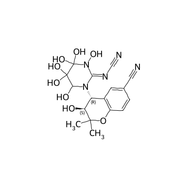 CC1(C)Oc2ccc(C#N)cc2[C@@H](N2C(=NC#N)N(O)C(O)(O)C(O)(O)C2O)[C@@H]1O